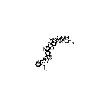 COc1cc2c(Oc3ccc(NS(=O)(=O)c4c[nH]c(C)n4)cc3F)ccnc2cc1OCCCN1CCCCC1C